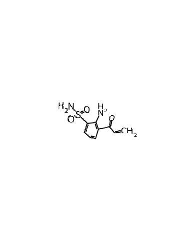 C=CC(=O)c1cccc(S(N)(=O)=O)c1N